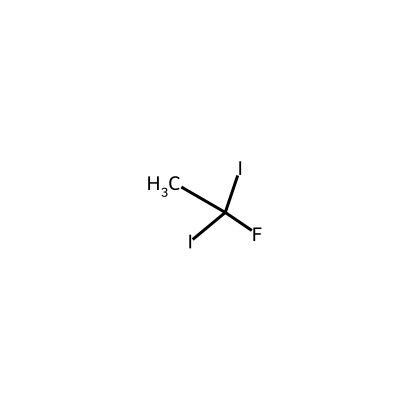 CC(F)(I)I